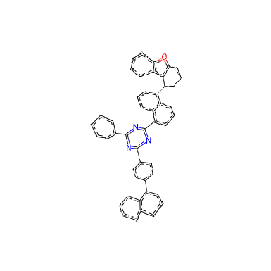 C1=Cc2oc3ccccc3c2C(c2cccc3c(-c4nc(-c5ccccc5)nc(-c5ccc(-c6cccc7ccccc67)cc5)n4)cccc23)C1